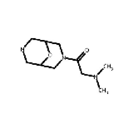 CN(C)CC(=O)N1CC2C[N]CC(C1)O2